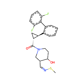 CS/N=C\C1CN(C(=O)[C@@H]2C[C@H]2c2ccccc2-c2c(F)cccc2F)CCC1O